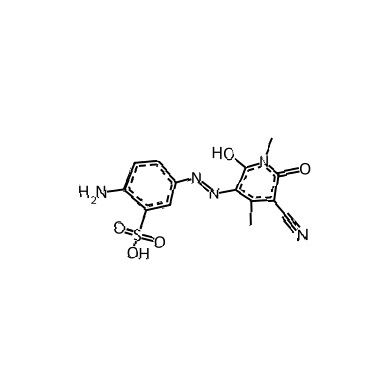 Cc1c(N=Nc2ccc(N)c(S(=O)(=O)O)c2)c(O)n(C)c(=O)c1C#N